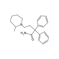 CC1CCCCN1CCC(C(N)=O)(c1ccccc1)c1ccccc1